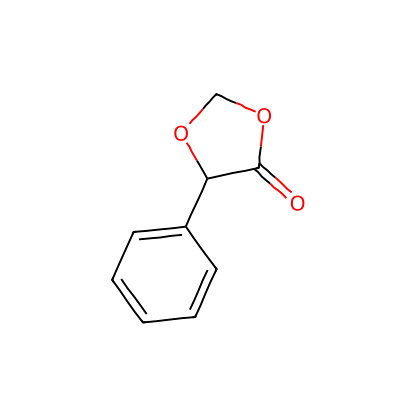 O=C1OCOC1c1ccccc1